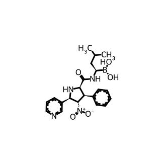 CC(C)C[C@H](NC(=O)[C@@H]1N[C@H](c2cccnc2)[C@@H]([N+](=O)[O-])[C@@H]1c1ccccc1)B(O)O